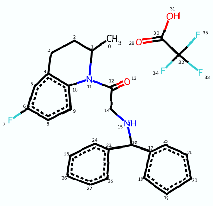 CC1CCc2cc(F)ccc2N1C(=O)CNC(c1ccccc1)c1ccccc1.O=C(O)C(F)(F)F